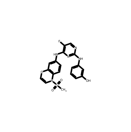 CS(=O)(=O)N1C=COc2cc(Nc3nc(Nc4cccc(O)c4)ncc3F)ccc21